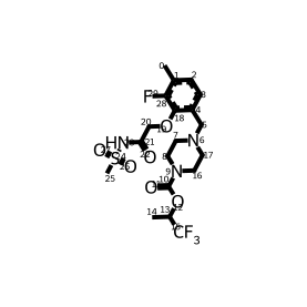 Cc1ccc(CN2CCN(C(=O)OC(C)C(F)(F)F)CC2)c(OCC(=O)NS(C)(=O)=O)c1F